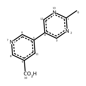 Cc1ncc(-c2cncc(C(=O)O)c2)cn1